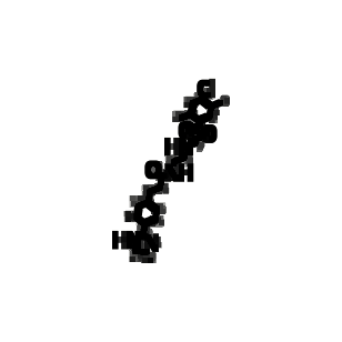 Cc1cc(S(=O)(=O)CNCCNC(=O)CCc2ccc(C3=NCCN3)cc2)c(C)cc1Cl